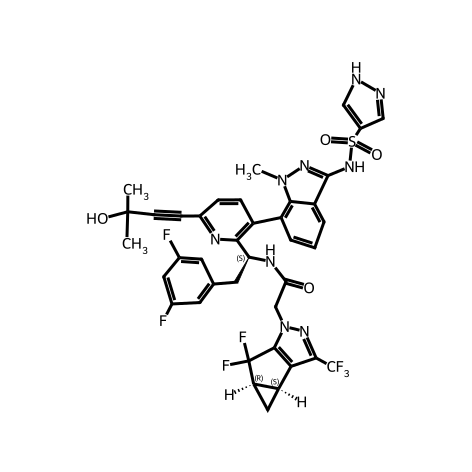 Cn1nc(NS(=O)(=O)c2cn[nH]c2)c2cccc(-c3ccc(C#CC(C)(C)O)nc3[C@H](Cc3cc(F)cc(F)c3)NC(=O)Cn3nc(C(F)(F)F)c4c3C(F)(F)[C@@H]3C[C@H]43)c21